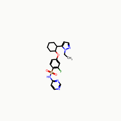 CCn1nccc1C1CCCCC1Oc1ccc(S(=O)(=O)Nc2ccncn2)c(F)c1